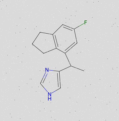 CC(c1c[nH]cn1)c1cc(F)cc2c1CCC2